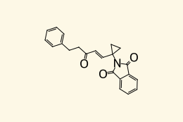 O=C(/C=C/C1(N2C(=O)c3ccccc3C2=O)CC1)CCc1ccccc1